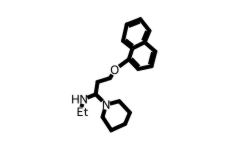 CCNC(CCOc1cccc2ccccc12)N1CCCCC1